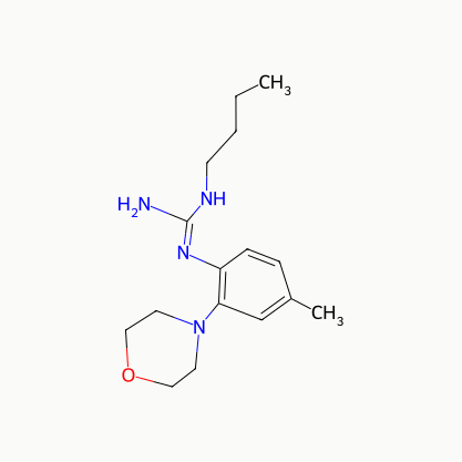 CCCCNC(N)=Nc1ccc(C)cc1N1CCOCC1